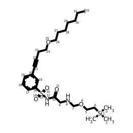 C[Si](C)(C)CCOCNCC(=O)NS(=O)(=O)c1cccc(C#CCCOCCCCCCI)c1